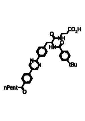 CCCCCC(=O)c1ccc(-c2cnc(-c3ccc(C[C@H](NC(=O)c4ccc(C(C)(C)C)cc4)C(=O)NCCC(=O)O)cc3)nc2)cc1